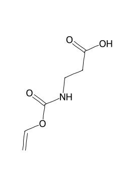 C=COC(=O)NCCC(=O)O